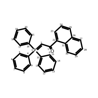 O=C(C=P(c1ccccc1)(c1ccccc1)c1ccccc1)c1cccc2ccccc12